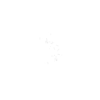 CC(CC(C)C)=NNC(=O)c1cccc(C(=O)NN=C(C)CC(C)C)c1